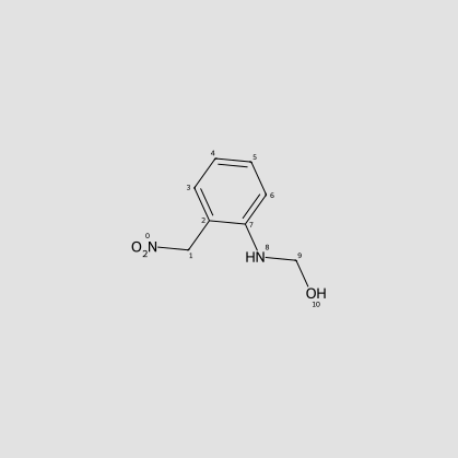 O=[N+]([O-])Cc1ccccc1NCO